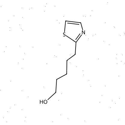 OCCCCCc1nccs1